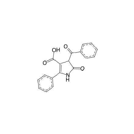 O=C(O)C1=C(c2ccccc2)NC(=O)C1C(=O)c1ccccc1